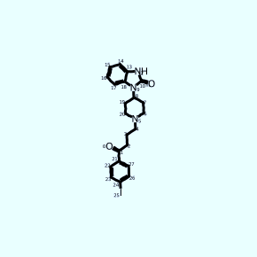 O=C(CCCN1CCC(n2c(=O)[nH]c3ccccc32)CC1)c1ccc(I)cc1